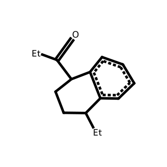 CCC(=O)C1CCC(CC)c2ccccc21